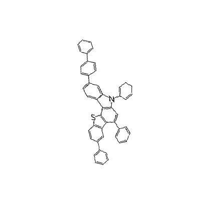 C1=CC(n2c3cc(-c4ccc(-c5ccccc5)cc4)ccc3c3c4sc5ccc(-c6ccccc6)cc5c4c(-c4ccccc4)cc32)=CCC1